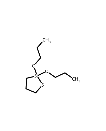 CCCO[Si]1(OCCC)CCCS1